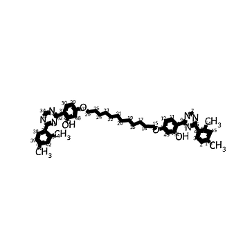 Cc1ccc(-c2ncnc(-c3ccc(OCCCCCCCCCCCCOc4ccc(-c5ncnc(-c6ccc(C)cc6C)n5)c(O)c4)cc3O)n2)c(C)c1